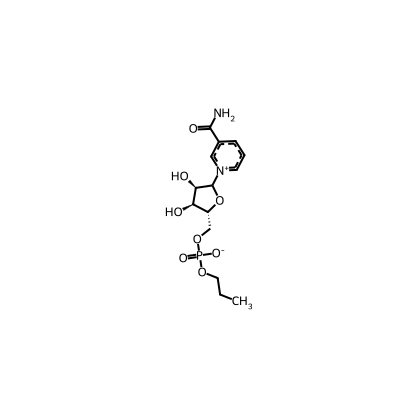 CCCOP(=O)([O-])OC[C@H]1OC([n+]2cccc(C(N)=O)c2)[C@H](O)[C@@H]1O